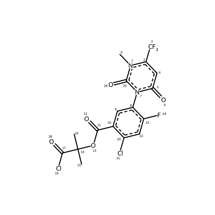 Cn1c(C(F)(F)F)cc(=O)n(-c2cc(C(=O)OC(C)(C)C(=O)Cl)c(Cl)cc2F)c1=O